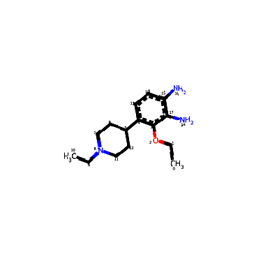 CCOc1c(C2CCN(CC)CC2)ccc(N)c1N